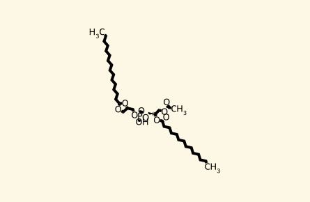 CCCCCCCCCCCCCCCC1OCC(COP(=O)(O)OC[C@@H](COC(C)=O)OC(=O)CCCCCCCCCCCCC)O1